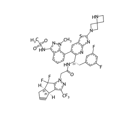 Cn1nc(NS(C)(=O)=O)c2cccc(-c3cc4sc(N5CC6(CCN6)C5)nc4nc3[C@H](Cc3cc(F)cc(F)c3)NC(=O)Cn3nc(C(F)(F)F)c4c3C(F)(F)[C@@H]3CC#C[C@H]43)c21